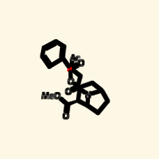 COC(=O)[C@H]1C(OC(=O)c2ccccc2)CC2CCC1N2C(=O)CCC(C)=O